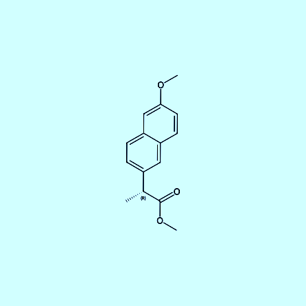 COC(=O)[C@H](C)c1ccc2cc(OC)ccc2c1